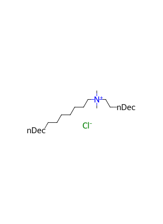 CCCCCCCCCCCCCCCCC[N+](C)(C)CCCCCCCCCCCC.[Cl-]